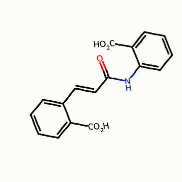 O=C(C=Cc1ccccc1C(=O)O)Nc1ccccc1C(=O)O